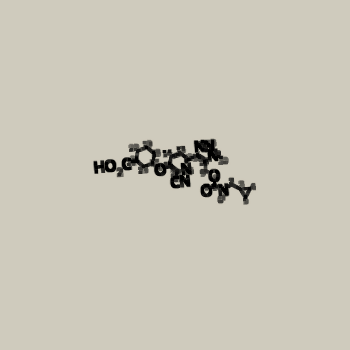 CN(CC1CC1)C(=O)OCc1c(-c2ccc(O[C@H]3CCC[C@H](C(=O)O)C3)c(C#N)n2)nnn1C